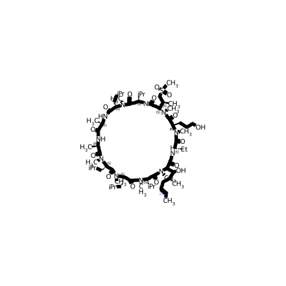 C/C=C/C[C@@H](C)C(O)C1C(=O)N[C@@H](CC)C(=O)N(C)[C@H](CCCO)C(=O)N(C)[C@@H]([C@H](C)CS(C)(=O)=O)C(=O)N[C@@H](C(C)C)C(=O)N(C)[C@@H](CC(C)C)C(=O)N[C@@H](C)C(=O)N[C@H](C)C(=O)N(C)[C@@H](CC(C)C)C(=O)N(C)[C@@H](CC(C)C)C(=O)N(C)[C@@H](C(C)C)C(=O)N1C